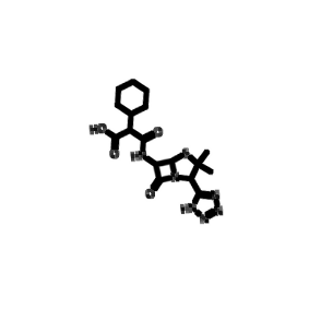 CC1(C)SC2C(NC(=O)C(C(=O)O)C3CCCCC3)C(=O)N2C1c1nnn[nH]1